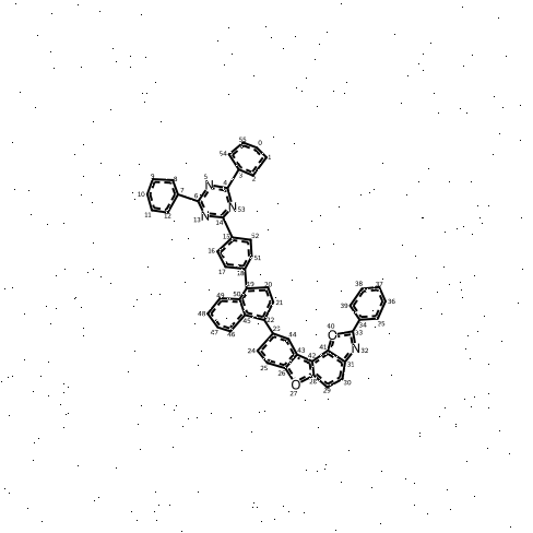 c1ccc(-c2nc(-c3ccccc3)nc(-c3ccc(-c4ccc(-c5ccc6oc7ccc8nc(-c9ccccc9)oc8c7c6c5)c5ccccc45)cc3)n2)cc1